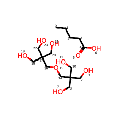 CCCCC(=O)O.OCC(CO)(CO)COCC(CO)(CO)CO